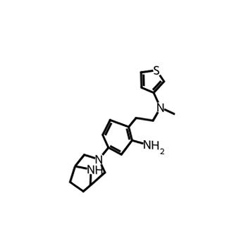 CN(CCc1ccc(N2CC3CCC(C2)N3)cc1N)c1ccsc1